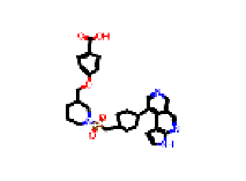 O=C(O)c1ccc(OCC2CCCN(S(=O)(=O)CC3CCC(c4cncc5cnc6[nH]ccc6c45)CC3)C2)cc1